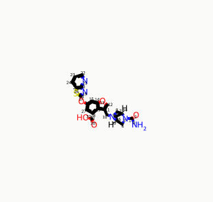 NC(=O)N1C[C@@H]2C[C@H]1CN2Cc1coc2cc(Oc3nc4ncccc4s3)ccc12.O=CO